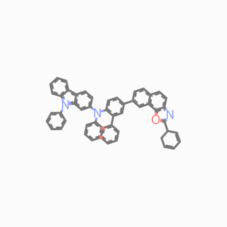 C1=CCC(c2nc3ccc4ccc(-c5ccc(N(c6ccccc6)c6ccc7c8ccccc8n(-c8ccccc8)c7c6)c(-c6ccccc6)c5)cc4c3o2)C=C1